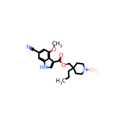 BN1CCC(CCC)(COC(=O)c2c[nH]c3cc(C#N)cc(OC)c23)CC1